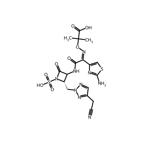 CC(C)(O/N=C(\C(=O)NC1C(=O)N(S(=O)(=O)O)[C@H]1Cn1ncc(CC#N)n1)c1csc(N)n1)C(=O)O